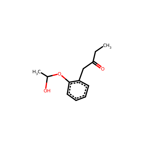 CCC(=O)Cc1ccccc1OC(C)O